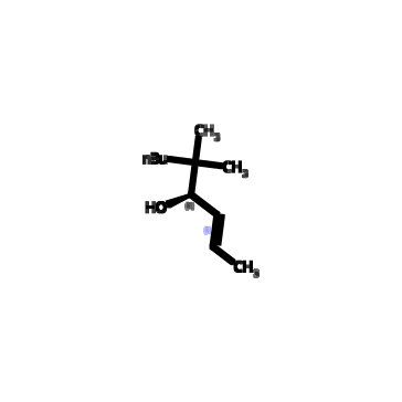 C/C=C/[C@@H](O)C(C)(C)CCCC